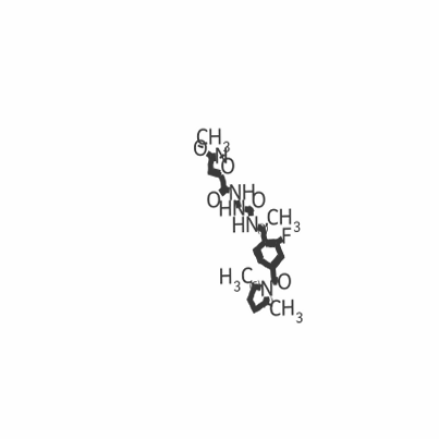 COc1cc(C(=O)NNC(=O)N[C@H](C)c2ccc(C(=O)N3[C@H](C)CC[C@@H]3C)cc2F)on1